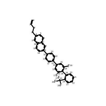 C=CCCc1ccc2cc(-c3ccc(-c4cc(F)c(-c5ccccc5C(F)(F)F)c(F)c4)cc3)ccc2c1